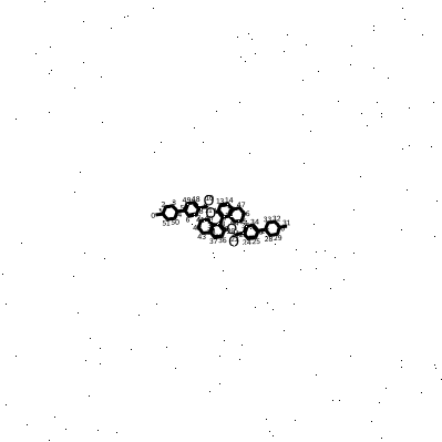 CC1CCC(c2ccc(C(=O)Oc3ccc4c(c3-c3c(OC(=O)c5ccc(C6CCC(C)CC6)cc5)ccc5c3CCCC5)CCCC4)cc2)CC1